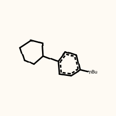 [CH2]CCCc1ccc(C2CCCCC2)cc1